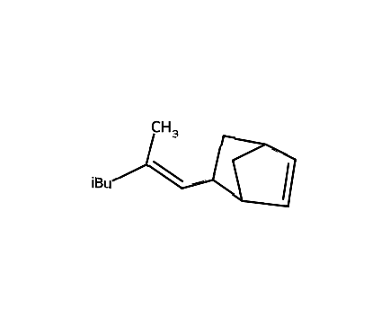 CCC(C)C(C)=CC1CC2C=CC1C2